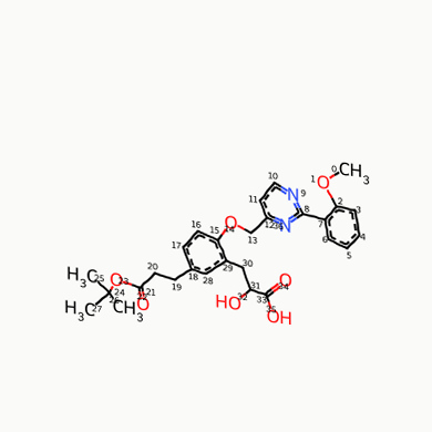 COc1ccccc1-c1nccc(COc2ccc(CCC(=O)OC(C)(C)C)cc2CC(O)C(=O)O)n1